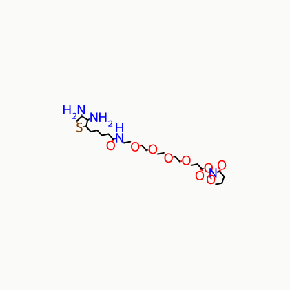 NC1CSC(CCCCC(=O)NCCOCCOCCOCCOCCC(=O)ON2OCCCC2=O)C1N